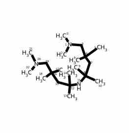 CN(C)CC(C)(C)CC(C)(C)NC(C)(C)CC(C)(C)CN(C)C